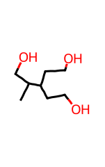 CC(CO)C(CCO)CCO